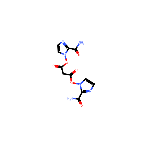 NC(=O)c1nccn1OC(=O)CC(=O)On1ccnc1C(N)=O